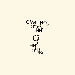 COC(=O)c1c([N+](=O)[O-])cnn1Cc1ccc(CNC(=O)OC(C)(C)C)cc1